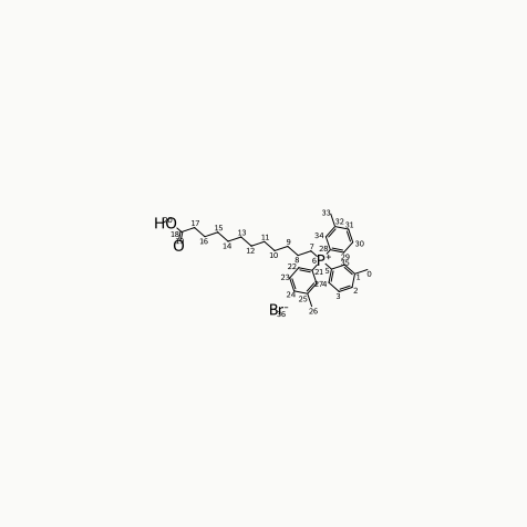 Cc1cccc([P+](CCCCCCCCCCCC(=O)O)(c2cccc(C)c2)c2cccc(C)c2)c1.[Br-]